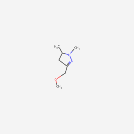 COCC1=NN(C)C(C)C1